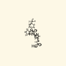 CC(C)(C)C1CCC(N(C(=O)Nc2ncc(SCC(=O)O)s2)C2CCCC2)CC1